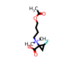 CC(=O)OCCCC[N+](C)(C)C1(C(=O)[O-])CC1F